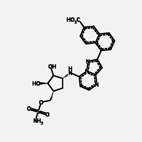 NS(=O)(=O)OC[C@H]1C[C@@H](Nc2ccnc3cc(-c4cccc5cc(C(=O)O)ccc45)nn23)C(O)[C@@H]1O